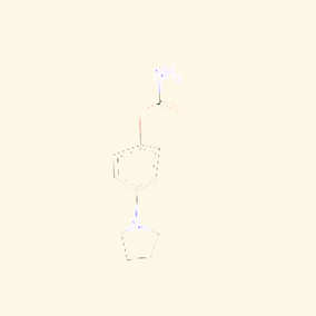 NC(=O)Oc1ccc(N2CCCC2)cc1